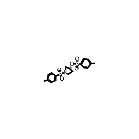 Cc1ccc(S(=O)(=O)O[C@@H]2CCN(S(=O)(=O)c3ccc(C)cc3)C2)cc1